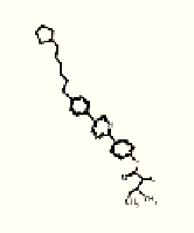 CC[C@H](C)[C@H](Cl)C(=O)Oc1ccc(-c2ncc(-c3ccc(CCCCCCC4CCCC4)cc3)cn2)cc1